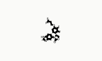 O=C1OC[C@@H](c2ccc(OCCC(F)F)c(F)c2F)N1c1ccc2[nH]cnc2c1